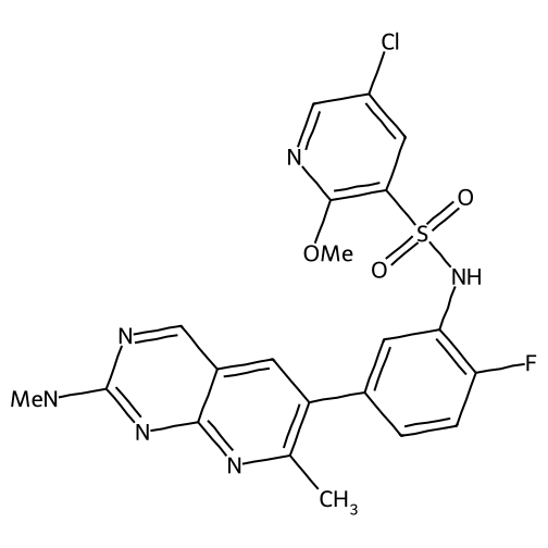 CNc1ncc2cc(-c3ccc(F)c(NS(=O)(=O)c4cc(Cl)cnc4OC)c3)c(C)nc2n1